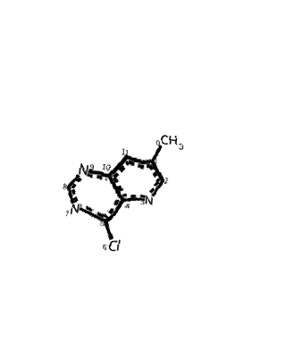 Cc1cnc2c(Cl)ncnc2c1